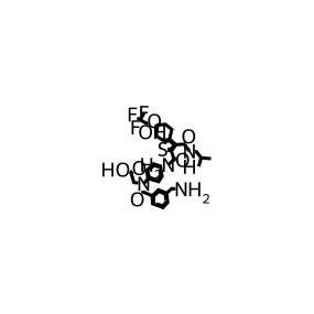 CC(C)CNC(=O)c1c(C(N)=O)sc2c1CCCC2.NCc1cccc(C(=O)N(CC(=O)O)c2ccccc2)c1.O=C(O)C(F)(F)F